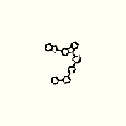 c1ccc(-c2cccc(-c3ccc(-c4ccnc(-n5c6ccccc6c6cc(-c7cc8ccccc8s7)ccc65)n4)cc3)c2)cc1